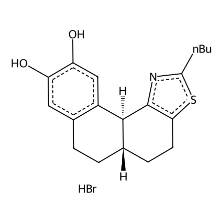 Br.CCCCc1nc2c(s1)CC[C@@H]1CCc3cc(O)c(O)cc3[C@@H]21